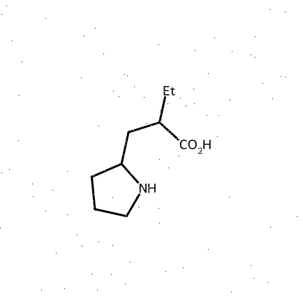 CCC(CC1CCCN1)C(=O)O